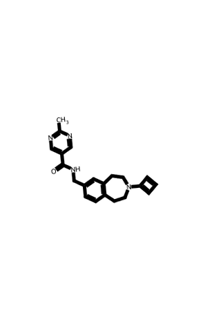 Cc1ncc(C(=O)NCc2ccc3c(c2)CCN(C2=CC=C2)CC3)cn1